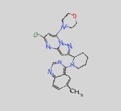 Cc1ccc2ncnc(N3CCCCC3c3cc4nc(Cl)cc(N5CCOCC5)n4n3)c2c1